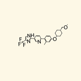 COC[C@H]1CC[C@@H](Oc2ccc(-c3ccc(-c4nc(C(F)(F)F)c[nH]4)cn3)c(C)c2)CC1